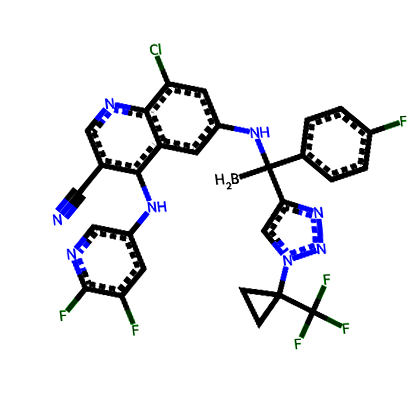 BC(Nc1cc(Cl)c2ncc(C#N)c(Nc3cnc(F)c(F)c3)c2c1)(c1ccc(F)cc1)c1cn(C2(C(F)(F)F)CC2)nn1